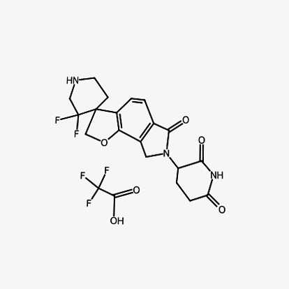 O=C(O)C(F)(F)F.O=C1CCC(N2Cc3c(ccc4c3OCC43CCNCC3(F)F)C2=O)C(=O)N1